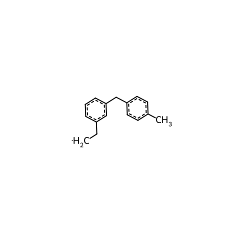 [CH2]Cc1cccc(Cc2ccc(C)cc2)c1